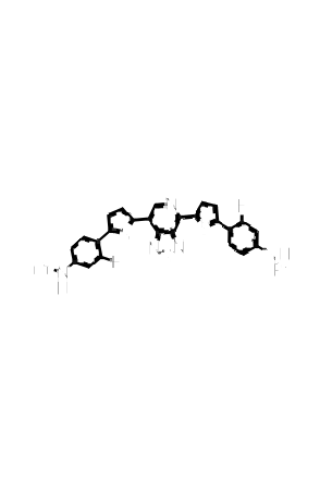 CC(C)Nc1ccc(-c2ccc(-c3cnc(-c4ccc(-c5ccc(NC(C)C)cc5F)s4)c4nsnc34)s2)c(F)c1